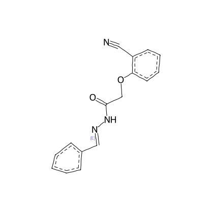 N#Cc1ccccc1OCC(=O)N/N=C/c1ccccc1